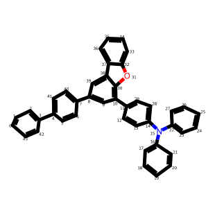 c1ccc(-c2ccc(-c3cc(-c4ccc(N(c5ccccc5)c5ccccc5)cc4)c4oc5ccccc5c4c3)cc2)cc1